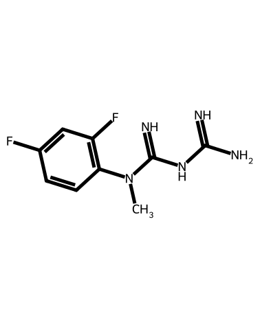 CN(C(=N)NC(=N)N)c1ccc(F)cc1F